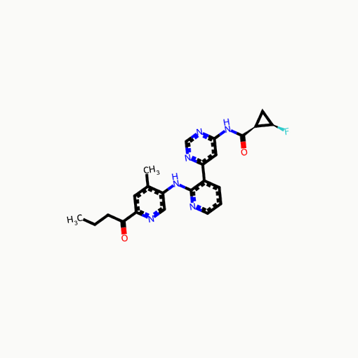 CCCC(=O)c1cc(C)c(Nc2ncccc2-c2cc(NC(=O)[C@H]3C[C@H]3F)ncn2)cn1